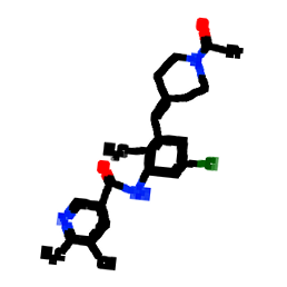 Cc1ncc(C(=O)Nc2cc(Cl)cc(C=C3CCN(C(=O)C(C)C)CC3)c2C)cc1C#N